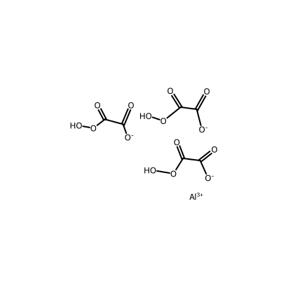 O=C([O-])C(=O)OO.O=C([O-])C(=O)OO.O=C([O-])C(=O)OO.[Al+3]